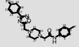 Cc1ccc(NC(=O)CN2CCN(Cc3nc(C4=CCC(F)C=C4)no3)CC2)cc1